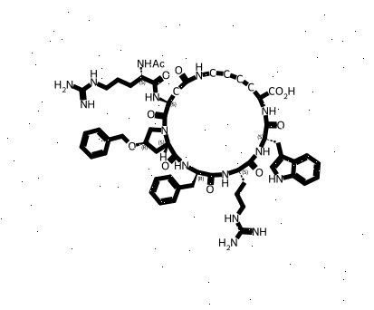 CC(=O)N[C@@H](CCCNC(=N)N)C(=O)N[C@H]1CC(=O)NCCCCC(C(=O)O)NC(=O)[C@H](Cc2c[nH]c3ccccc23)NC(=O)[C@H](CCCNC(=N)N)NC(=O)[C@@H](Cc2ccccc2)NC(=O)[C@@H]2C[C@@H](OCc3ccccc3)CN2C1=O